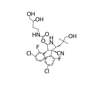 CC(C)(CO)C[C@@H]1N[C@H](OC(=O)NCC[C@H](O)CO)[C@H](c2cccc(Cl)c2F)[C@@]1(C#N)c1ccc(Cl)cc1F